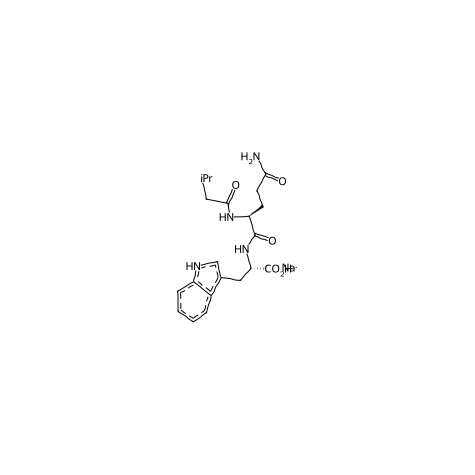 CC(C)CC(=O)N[C@@H](CCC(N)=O)C(=O)N[C@@H](Cc1c[nH]c2ccccc12)C(=O)O.[Na]